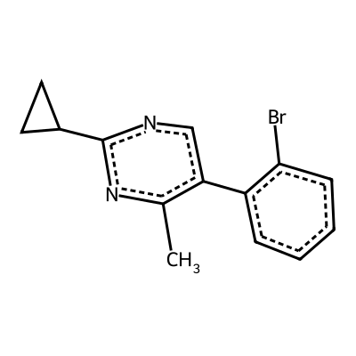 Cc1nc(C2CC2)ncc1-c1ccccc1Br